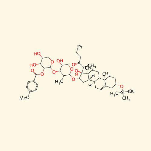 COc1ccc(C(=O)OC2C(OC3C(O)COC(O[C@H]4C[C@H]5[C@@H]6CC=C7C[C@@H](O[Si](C)(C)C(C)(C)C)CC[C@]7(C)C6CC[C@]5(C)[C@@]4(O)[C@H](C)C(=O)CCC(C)C)C3C)OCC(O)C2O)cc1